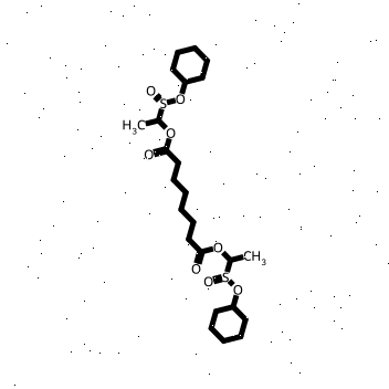 CC(OC(=O)CCCCCCC(=O)OC(C)S(=O)OC1CCCCC1)S(=O)OC1CCCCC1